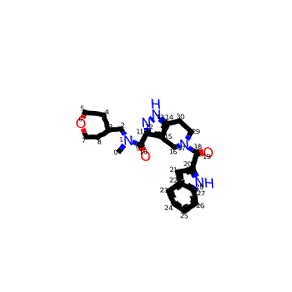 CN(CC1CCOCC1)C(=O)c1n[nH]c2c1CN(C(=O)c1cc3ccccc3[nH]1)CC2